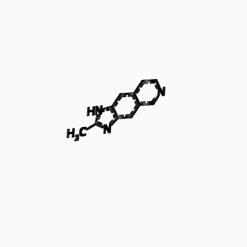 Cc1nc2cc3cnccc3cc2[nH]1